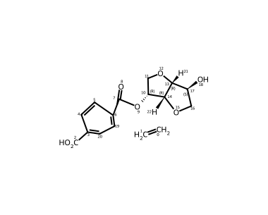 C=C.O=C(O)c1ccc(C(=O)O[C@@H]2CO[C@H]3[C@@H]2OC[C@@H]3O)cc1